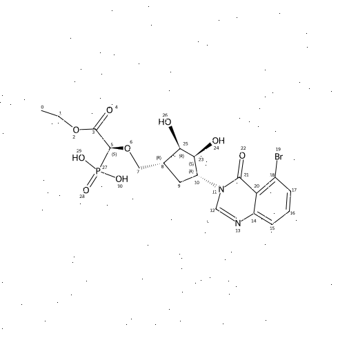 CCOC(=O)[C@@H](OC[C@H]1C[C@@H](n2cnc3cccc(Br)c3c2=O)[C@H](O)[C@@H]1O)P(=O)(O)O